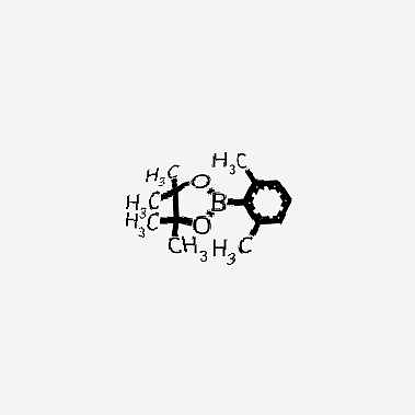 Cc1cccc(C)c1B1OC(C)(C)C(C)(C)O1